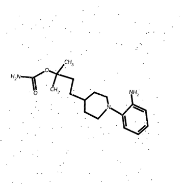 CC(C)(CCC1CCN(c2ccccc2N)CC1)OC(N)=O